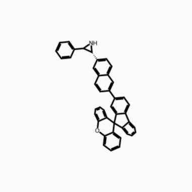 c1ccc(C2N[C@@H]2c2ccc3cc(-c4ccc5c(c4)C4(c6ccccc6Oc6ccccc64)c4ccccc4-5)ccc3c2)cc1